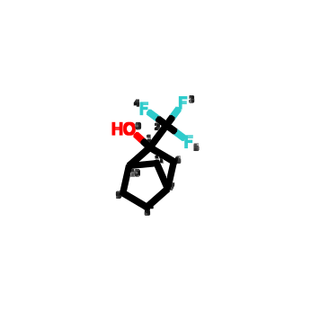 OC1(C(F)(F)F)CC2[CH]CC1C2